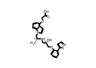 C[C@H](Cn1ccc2c(OCC(=O)O)cccc21)NC[C@H](O)COc1ccccc1-c1ccns1